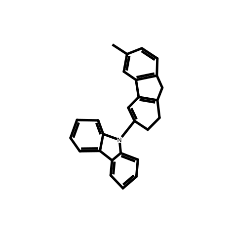 Cc1ccc2c(c1)C1=C(CCC(n3c4ccccc4c4ccccc43)=C1)C2